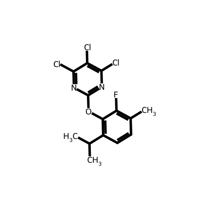 Cc1ccc(C(C)C)c(Oc2nc(Cl)c(Cl)c(Cl)n2)c1F